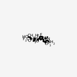 CC(O)(CC(=O)N1C[C@H](F)[C@H](NC(=O)c2cc(-c3cc(C(F)(F)F)c4c(N)ncnn34)cc(F)c2F)C1)C(F)(F)F